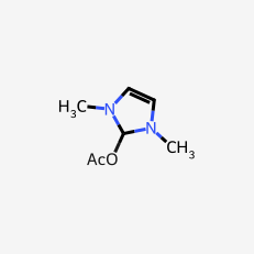 CC(=O)OC1N(C)C=CN1C